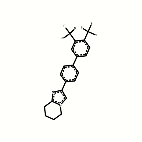 FC(F)(F)c1ccc(-c2ccc(-c3cn4c(n3)CCCC4)cc2)cc1C(F)(F)F